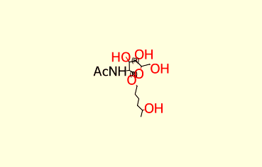 CC(=O)NC1C(O)[C@@H](O)C(CO)O[C@H]1OCCCCC(C)O